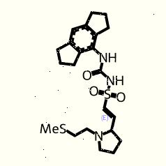 CSCCN1CCCC1/C=C/S(=O)(=O)NC(=O)Nc1c2c(cc3c1CCC3)CCC2